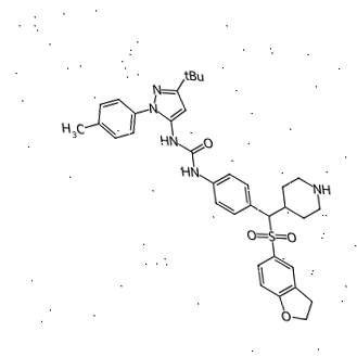 Cc1ccc(-n2nc(C(C)(C)C)cc2NC(=O)Nc2ccc(C(C3CCNCC3)S(=O)(=O)c3ccc4c(c3)CCO4)cc2)cc1